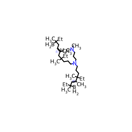 BC(C)(/C=C(\C)C(C)(CC)CCCN(CCCN(C)C)CCCC(C)(CC)C/C(C)=C/CC(B)(C)CC)CC